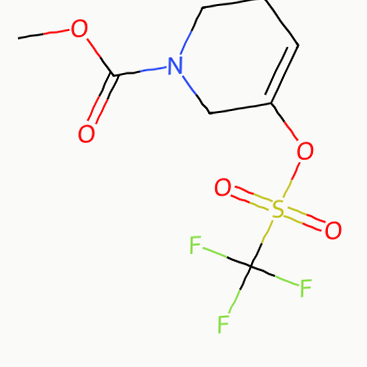 COC(=O)N1CCC=C(OS(=O)(=O)C(F)(F)F)C1